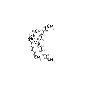 CCCCCCC[CH2][Mg][CH2]CCC.CCCCCCC[CH2][Mg][CH2]CCCCCCC